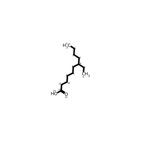 CCCCC(CC)CCCCCC(=O)O